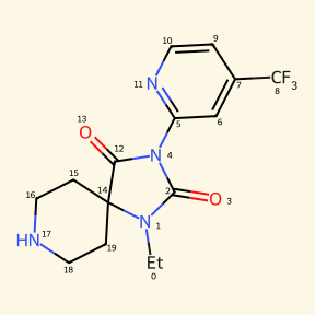 CCN1C(=O)N(c2cc(C(F)(F)F)ccn2)C(=O)C12CCNCC2